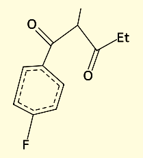 CCC(=O)C(C)C(=O)c1ccc(F)cc1